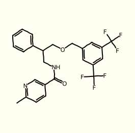 Cc1ccc(C(=O)NCC(COCc2cc(C(F)(F)F)cc(C(F)(F)F)c2)c2ccccc2)cn1